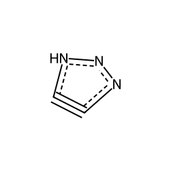 c1nn[nH]c#1